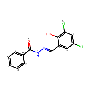 O=C(N/N=C/c1cc(Cl)cc(Cl)c1O)c1ccccc1